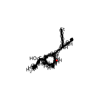 CCOCCOCCOCCOCCOCCNC(=O)[C@H](CCCCNC(=O)CCCc1ccc(C)cc1)NC(=O)COCCOCCOCCNC(=O)[C@@H]1CCCCn2cc(nn2)C[C@H](NC(=O)CC[C@H](NC(=O)c2ccc(NCc3cnc4nc(N)[nH]c(=O)c4n3)cc2)C(=O)O)C(=O)N[C@H](Cc2cnc[nH]2)C(=O)N[C@H](CO)C(=O)N[C@H](Cc2cnc[nH]2)C(=O)N[C@H]([C@H](C)O)C(=O)N[C@H](C)C(=O)N1